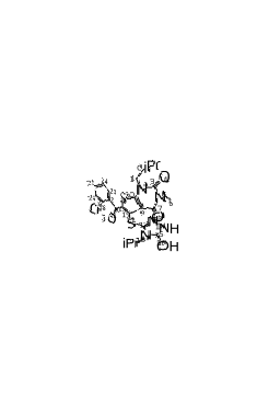 CC(C)Cn1c(=O)n(C)c(=O)c2c(SC3=NNC(O)N3C(C)C)c(C(=O)c3ccccc3C(F)(F)F)sc21